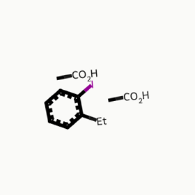 CC(=O)O.CC(=O)O.CCc1ccccc1I